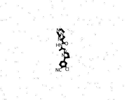 CC(Cn1ccc(-c2ccc(C#N)c(Cl)c2)n1)NC(=O)c1cn2ccncc2n1